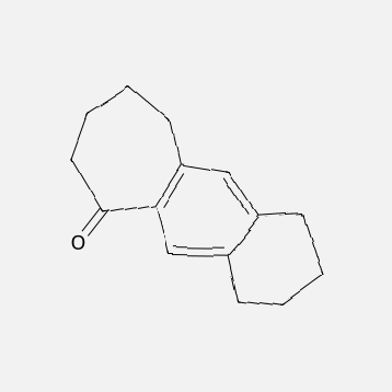 O=C1CCCCc2cc3c(cc21)CCCC3